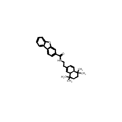 CC1(C)CCC(C)(C)C2C=C(CCNC(=O)c3ccc4c(c3)oc3ccccc34)C=CC21